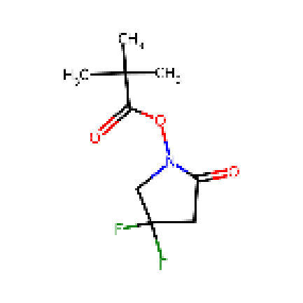 CC(C)(C)C(=O)ON1CC(F)(F)CC1=O